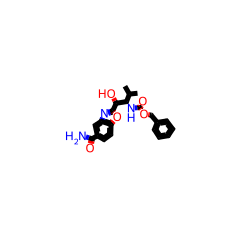 CC(C)[C@H](NC(=O)OCc1ccccc1)C(O)c1nc2cc(C(N)=O)ccc2o1